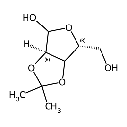 CC1(C)OC2[C@@H](O1)C(O)O[C@@H]2CO